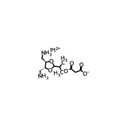 CC(C)C1O[C@H](CN)[C@@H](CN)O1.O=C([O-])CC(=O)[O-].[Pt+2]